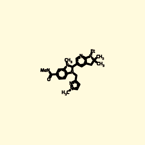 CCN1c2ncc(C3N(C)c4cc(C(=O)NC)ccc4N3Cc3ccn(C)n3)cc2CC1(C)C